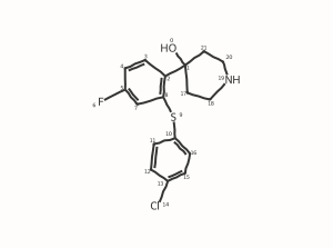 OC1(c2ccc(F)cc2Sc2ccc(Cl)cc2)CCNCC1